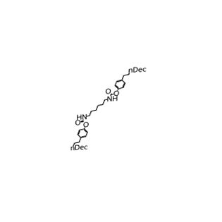 CCCCCCCCCCCCc1ccc(OC(=O)NCCCCCCNC(=O)Oc2ccc(CCCCCCCCCCCC)cc2)cc1